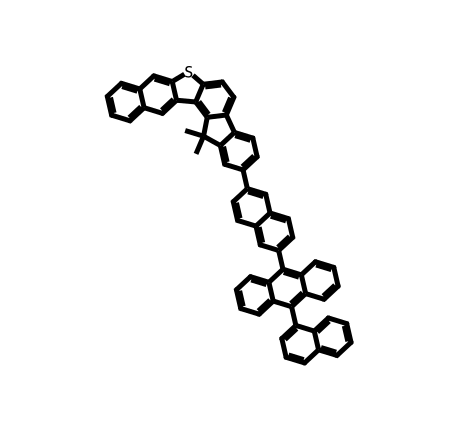 CC1(C)c2cc(-c3ccc4cc(-c5c6ccccc6c(-c6cccc7ccccc67)c6ccccc56)ccc4c3)ccc2-c2ccc3sc4cc5ccccc5cc4c3c21